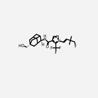 CC(C)(/C=C/n1ncc(C(=O)N[C@H]2C3CC4CC2C[C@](CO)(C4)C3)c1C(F)(F)F)CF